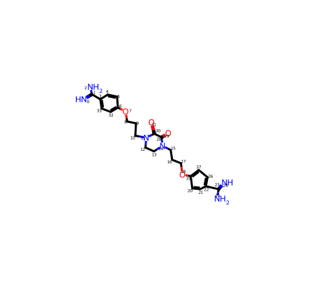 N=C(N)c1ccc(OCCCN2CCN(CCCOc3ccc(C(=N)N)cc3)C(=O)C2=O)cc1